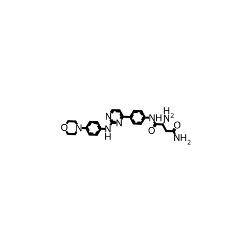 NC(=O)C[C@@H](N)C(=O)Nc1ccc(-c2ccnc(Nc3ccc(N4CCOCC4)cc3)n2)cc1